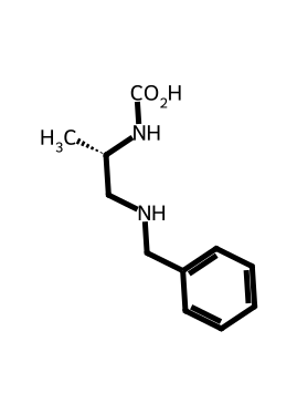 C[C@@H](CNCc1ccccc1)NC(=O)O